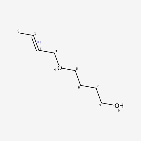 C/C=C/COCCCCO